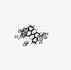 CCc1cc(-c2cc[n+](P(=O)(O)O)c3ccccc23)c2ccccc2[n+]1P(=O)(O)O.[Cl-].[Cl-]